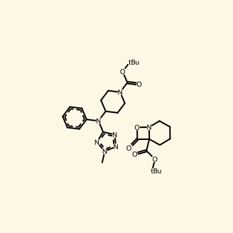 CC(C)(C)OC(=O)C12CCCCN1OC2=O.Cn1nnc(N(c2ccccc2)C2CCN(C(=O)OC(C)(C)C)CC2)n1